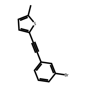 Cc1ccc(C#Cc2cccc(Br)c2)s1